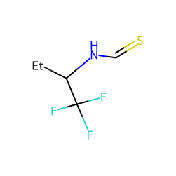 CCC(NC=S)C(F)(F)F